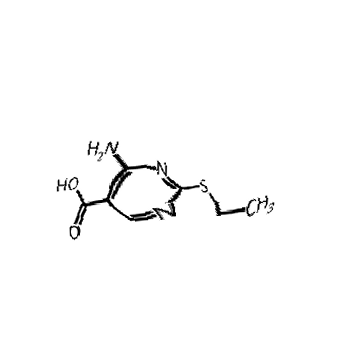 CCSc1ncc(C(=O)O)c(N)n1